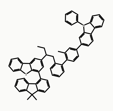 CCC(Cc1ccccc1-c1ccc(-c2ccc3c4ccccc4n(-c4ccccc4)c3c2)cc1C)c1cc(-c2cccc3c2-c2ccccc2C3(C)C)c2sc3ccccc3c2c1